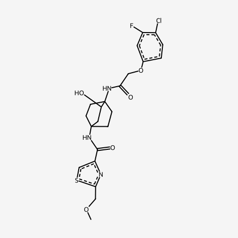 COCc1nc(C(=O)NC23CCC(NC(=O)COc4ccc(Cl)c(F)c4)(CC2)C(O)C3)cs1